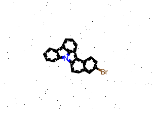 Brc1ccc2c(ccc3c2c2cccc4c5ccccc5n3c42)c1